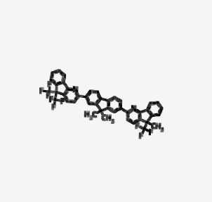 CC1(C)c2cc(-c3ccc4c(n3)-c3ccccc3C4(C)C(F)(F)F)ccc2-c2ccc(-c3ccc4c(n3)-c3ccccc3C4(C(F)(F)F)C(F)(F)F)cc21